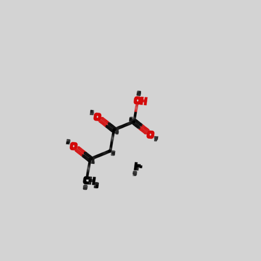 CC(=O)CC(=O)C(=O)O.[Ir]